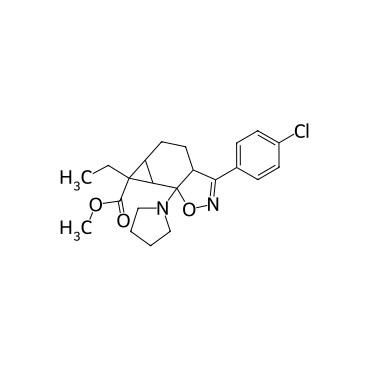 CCC1(C(=O)OC)C2CCC3C(c4ccc(Cl)cc4)=NOC3(N3CCCC3)C21